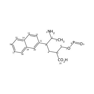 CC(N)C(CC(COP=O)C(=O)O)c1ccc2ccccc2c1